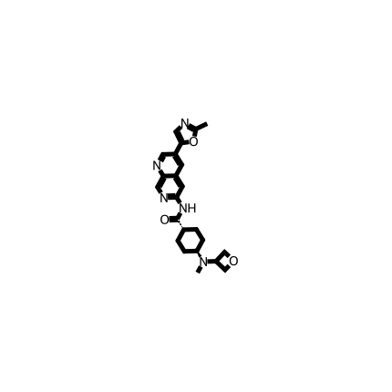 Cc1ncc(-c2cnc3cnc(NC(=O)[C@H]4CC[C@H](N(C)C5COC5)CC4)cc3c2)o1